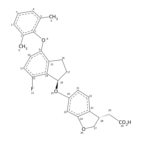 Cc1cccc(C)c1Oc1ccc(F)c2c1CC[C@H]2Oc1ccc2c(c1)OC[C@H]2CC(=O)O